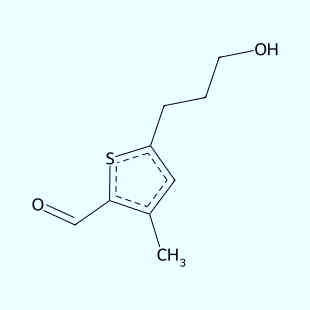 Cc1cc(CCCO)sc1C=O